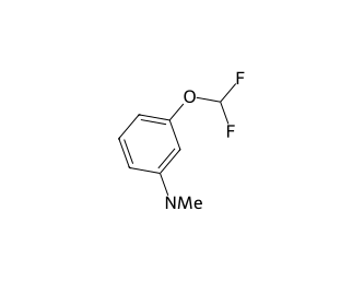 CNc1cccc(OC(F)F)c1